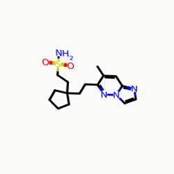 Cc1cc2nccn2nc1CCC1(CCS(N)(=O)=O)CCCC1